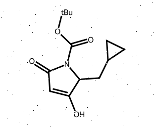 CC(C)(C)OC(=O)N1C(=O)C=C(O)C1CC1CC1